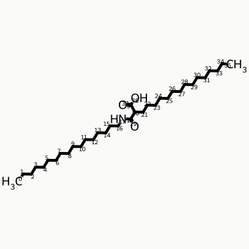 CCCCCCCCCCCCCCCCCNC(=O)C(CCCCCCCCCCCCCCC)C(=O)O